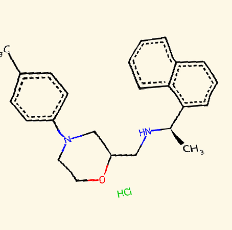 Cc1ccc(N2CCOC(CN[C@H](C)c3cccc4ccccc34)C2)cc1.Cl